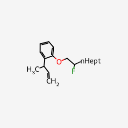 C=CC(C)c1ccccc1OCC(F)CCCCCCC